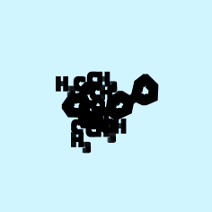 CC(C)(C)c1cccc(C(C)(C)C)c1O[PH](O)(O)c1ccc(-c2ccccc2)cc1